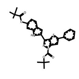 CC(C)(C)OC(=O)n1nc(-c2cc3ccc(OC(=O)C(C)(C)C)cc3[nH]2)c2sc(-c3ccccc3)cc21